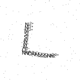 [Al].[Al].[Al].[Al].[Al].[N-3].[N-3].[Ni+2].[Ni+2].[Ni+2].[Ni+2].[Ni+2].[O-2].[O-2].[Si].[Si].[Si].[Si].[Si]